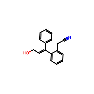 N#CCc1ccccc1C(=CCO)c1ccccc1